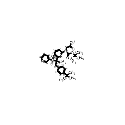 CC(C)(C)OC(=O)N(CC(=O)O)c1cccc(C(N)(Cc2ccc(C(C)(C)C)cc2)S(=O)(=O)c2cccnc2)n1